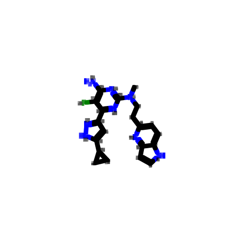 CN(CCc1ccc2[nH]ccc2n1)c1nc(N)c(F)c(-c2cc(C3CC3)[nH]n2)n1